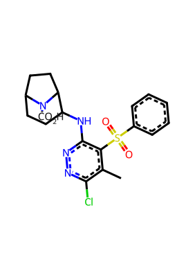 Cc1c(Cl)nnc(NC2CCC3CCC2N3C(=O)O)c1S(=O)(=O)c1ccccc1